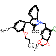 COc1ccc(-c2c(C(=O)O)n(Cc3cc4c(cc3Cl)OCO4)c3ccccc23)c(OCCC(=O)O)c1